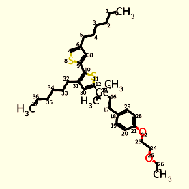 CCCCCCc1csc(-c2s[c]([Ge]([CH3])([CH3])[CH2]Cc3ccc(OCCOCC)cc3)cc2CCCCCC)c1